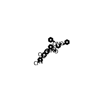 O=C1CC2(CCN(c3cccc4c3[nH]c(=O)n4-c3ccc(OCc4ccccc4)nc3OCc3ccccc3)CC2)CCN1c1ccc(Cl)nc1